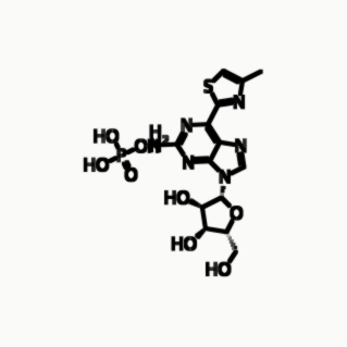 Cc1csc(-c2nc(N)nc3c2ncn3[C@@H]2O[C@H](CO)[C@@H](O)[C@H]2O)n1.O=P(O)(O)O